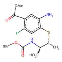 COC(=O)c1cc(N)c(S[C@H](C)[C@H](NC(=O)OC(C)(C)C)C(=O)O)cc1F